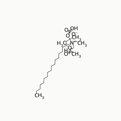 CCCCCCCCCCCCCCCCC(CC(C)(OP(=O)([O-])O)[N+](CC)(CC)CC)OC(C)=O